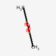 CCCCCCCCCCCCCCSCC(=O)OCC(I)COC(=O)CSCCCCCCCCCCCCCC